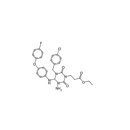 CCOC(=O)CCN1C(=O)N(N)C(Nc2ccc(Oc3ccc(F)cc3)cc2)N(Cc2ccc(Cl)cc2)C1=O